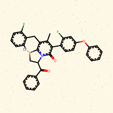 Cc1c(Cc2c(F)cccc2C(F)(F)F)c2n(c(=O)c1-c1ccc(Oc3ccccc3)cc1F)C(C(=O)c1ccccc1)CS2